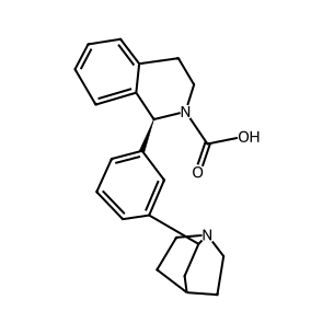 O=C(O)N1CCc2ccccc2[C@@H]1c1cccc(C2CC3CCN2CC3)c1